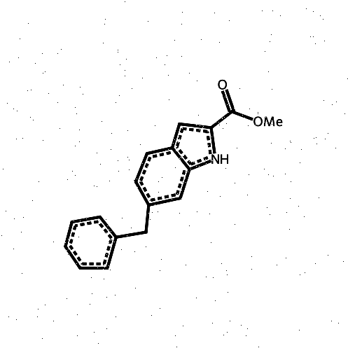 COC(=O)c1cc2ccc(Cc3ccccc3)cc2[nH]1